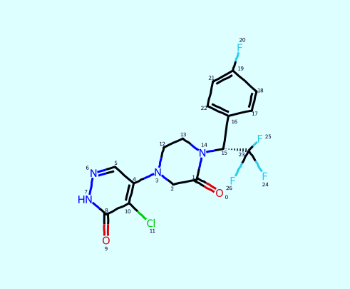 O=C1CN(c2cn[nH]c(=O)c2Cl)CCN1[C@H](c1ccc(F)cc1)C(F)(F)F